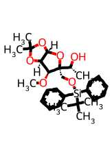 CO[C@H]1[C@H]2OC(C)(C)O[C@H]2O[C@@]1(CO[Si](c1ccccc1)(c1ccccc1)C(C)(C)C)[C@@H](C)O